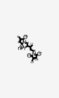 CCCC(CN1C(=O)C=C(C)C1=O)C(C)CCN1C(=O)C=C(C)C1=O